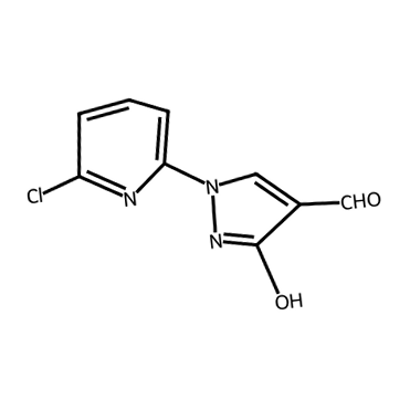 O=Cc1cn(-c2cccc(Cl)n2)nc1O